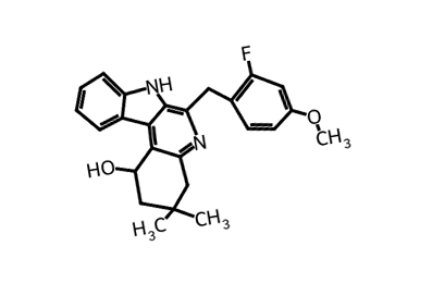 COc1ccc(Cc2nc3c(c4c2[nH]c2ccccc24)C(O)CC(C)(C)C3)c(F)c1